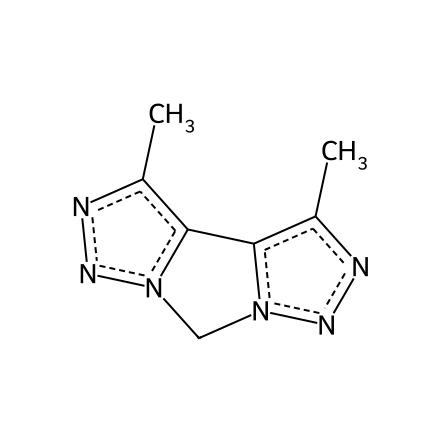 Cc1nnn2c1-c1c(C)nnn1C2